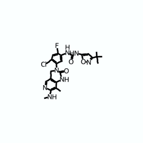 CNc1ncc2c(c1C)NC(=O)N(c1cc(NC(=O)Nc3cc(C(C)(C)C)no3)c(F)cc1Cl)C2